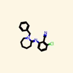 N#Cc1c(Cl)cccc1N=C1CCCCCN1Cc1ccccc1